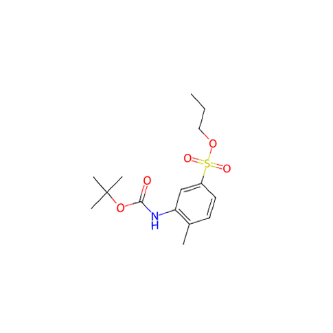 CCCOS(=O)(=O)c1ccc(C)c(NC(=O)OC(C)(C)C)c1